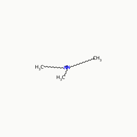 CCCCCCCCCCCCCCCCCCn1cc[n+](CCCCCCCCCCCCCCC)c1CCCCCC